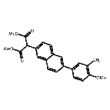 COC(=O)C(C(=O)OC)c1ccc2cc(-c3ccc(OC)c(C)c3)ccc2c1